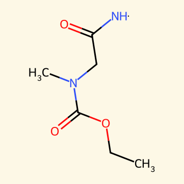 CCOC(=O)N(C)CC([NH])=O